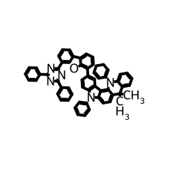 CC1(C)c2ccccc2N(C2=CCCC=C2)c2c1ccc1c2c2cc(-c3cccc4c3oc3c(-c5nc(-c6ccccc6)nc(-c6ccccc6)n5)cccc34)ccc2n1-c1ccccc1